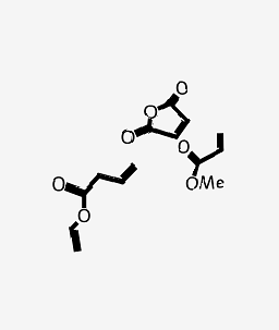 C=CC(=O)OC.C=CCC(=O)OC=C.O=C1C=CC(=O)O1